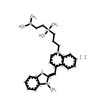 CN(C)CC[N+](C)(C)CCC[n+]1ccc(C=C2Sc3ccccc3N2C)c2ccccc21.[I-].[I-]